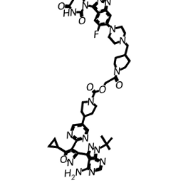 Cn1nc(N2CCC(=O)NC2=O)c2cc(F)c(N3CCN(CC4CCN(C(=O)COC(=O)N5CCC(c6cnc(-c7c(-c8nn(C(C)(C)C)c9ncnc(N)c89)noc7C7CC7)nc6)CC5)CC4)CC3)cc21